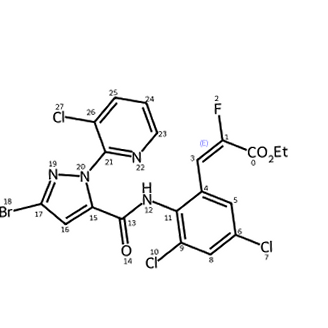 CCOC(=O)/C(F)=C\c1cc(Cl)cc(Cl)c1NC(=O)c1cc(Br)nn1-c1ncccc1Cl